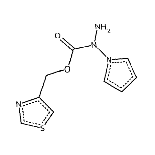 NN(C(=O)OCc1cscn1)n1cccc1